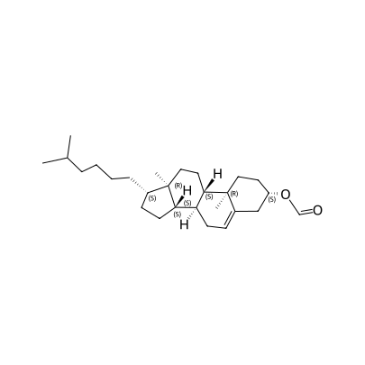 CC(C)CCCC[C@H]1CC[C@H]2[C@@H]3CC=C4C[C@@H](OC=O)CC[C@]4(C)[C@H]3CC[C@]12C